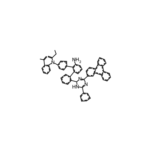 C=C(C)c1ccccc1N(C(=C)CC)c1ccc(-c2c(N)cccc2-c2ccccc2C2N=C(c3ccc4c5ccccc5c5ccccc5c4c3)N=C(c3ccccc3)N2)cc1